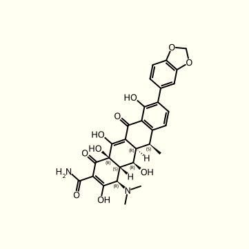 C[C@@H]1c2ccc(-c3ccc4c(c3)OCO4)c(O)c2C(=O)C2=C(O)[C@@]3(O)C(=O)C(C(N)=O)=C(O)[C@H](N(C)C)[C@H]3[C@H](O)[C@@H]21